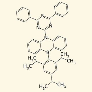 CC(C)c1cc(C(C)C)c(B2c3ccccc3N(c3nc(-c4ccccc4)nc(-c4ccccc4)n3)c3ccccc32)c(C(C)C)c1